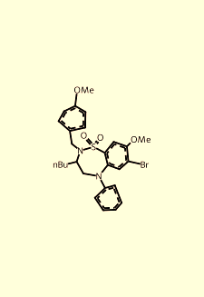 CCCCC1CN(c2ccccc2)c2cc(Br)c(OC)cc2S(=O)(=O)N1Cc1ccc(OC)cc1